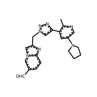 Cc1ncc(N2CCCC2)cc1-c1cn(Cc2cn3cc(C=O)ccc3n2)nn1